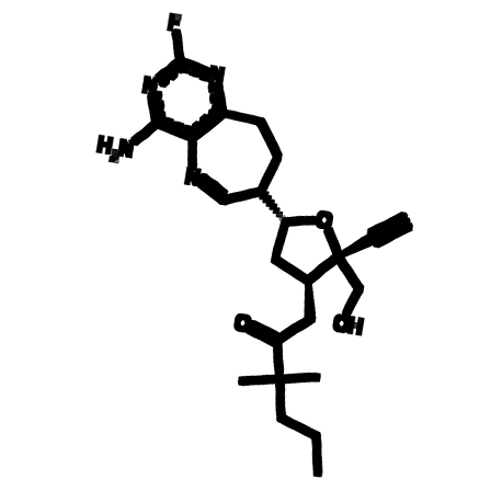 C#C[C@]1(CO)O[C@@H](C2C=Nc3c(N)nc(F)nc3CC2)C[C@@H]1CC(=O)C(C)(C)CCC